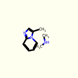 CNC.Cc1cnc2ccccn12